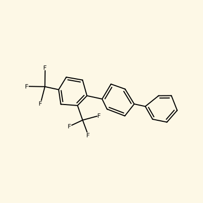 FC(F)(F)c1ccc(-c2ccc(-c3ccccc3)cc2)c(C(F)(F)F)c1